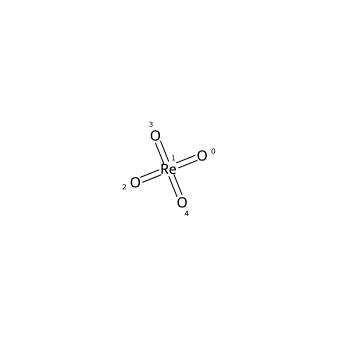 [O]=[Re](=[O])(=[O])=[O]